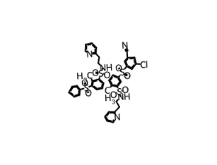 Cc1c(S(=O)(=O)NCCc2ccccn2)cccc1S(=O)(=O)c1ccccc1.Cc1ccc(S(=O)(=O)c2cc(Cl)cc(C#N)c2)cc1S(=O)(=O)NCCc1ccccn1